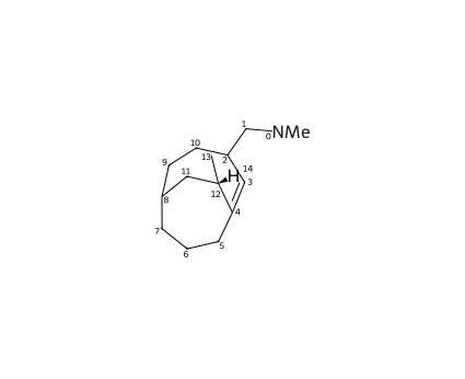 CNCC1/C=C2/CCCC(CC1)C[C@@H]2C